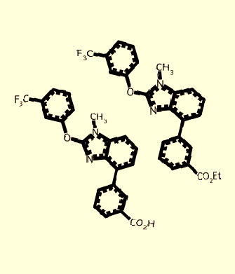 CCOC(=O)c1cccc(-c2cccc3c2nc(Oc2cccc(C(F)(F)F)c2)n3C)c1.Cn1c(Oc2cccc(C(F)(F)F)c2)nc2c(-c3cccc(C(=O)O)c3)cccc21